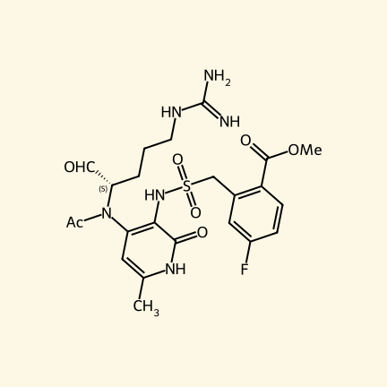 COC(=O)c1ccc(F)cc1CS(=O)(=O)Nc1c(N(C(C)=O)[C@H](C=O)CCCNC(=N)N)cc(C)[nH]c1=O